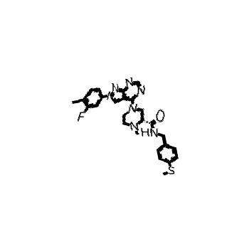 CSc1ccc(CNC(=O)[C@H]2CN(c3ncnc4nn(-c5ccc(C)c(F)c5)cc34)CCN2C)cc1